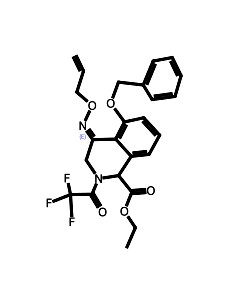 C=CCO/N=C1/CN(C(=O)C(F)(F)F)C(C(=O)OCC)c2cccc(OCc3ccccc3)c21